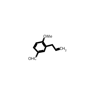 C=CCc1cc(C=O)ccc1OC